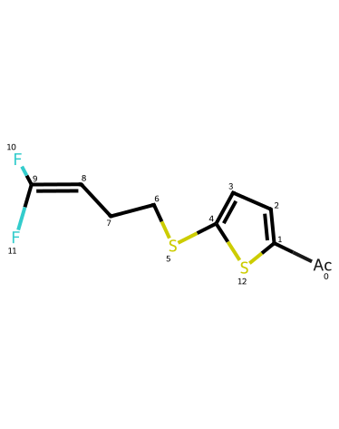 CC(=O)c1ccc(SCCC=C(F)F)s1